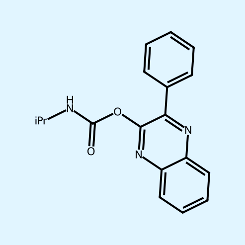 CC(C)NC(=O)Oc1nc2ccccc2nc1-c1ccccc1